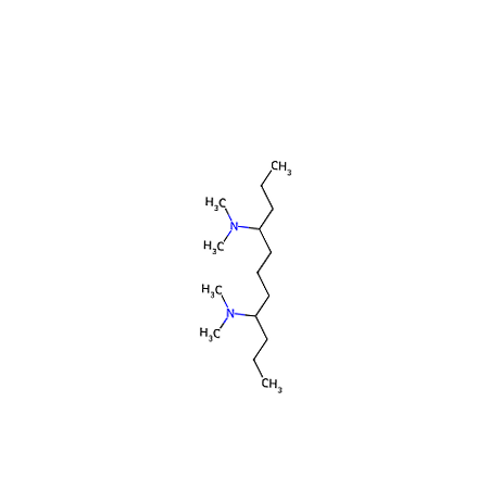 CCCC(CCCC(CCC)N(C)C)N(C)C